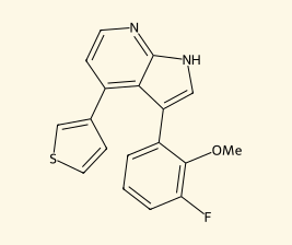 COc1c(F)cccc1-c1c[nH]c2nccc(-c3ccsc3)c12